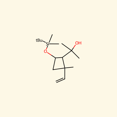 C=CC1(C)CC(O[Si](C)(C)C(C)(C)C)C1C(C)(C)O